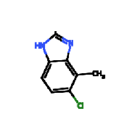 Cc1c(Cl)ccc2[nH][c]nc12